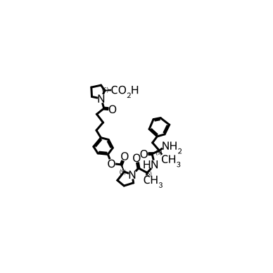 C[C@H](NC(=O)[C@@](C)(N)Cc1ccccc1)C(=O)N1CCC[C@H]1C(=O)Oc1ccc(CCCC(=O)N2CCC[C@H]2C(=O)O)cc1